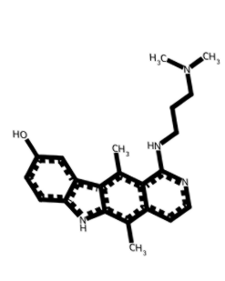 Cc1c2ccnc(NCCCN(C)C)c2c(C)c2c1[nH]c1ccc(O)cc12